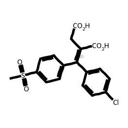 CS(=O)(=O)c1ccc(/C(=C(\CC(=O)O)C(=O)O)c2ccc(Cl)cc2)cc1